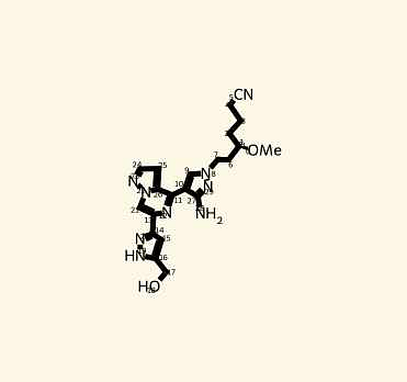 CO[C@H](CCCC#N)CCn1cc(-c2nc(-c3cc(CO)[nH]n3)cn3nccc23)c(N)n1